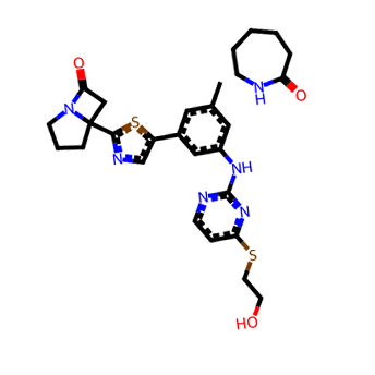 Cc1cc(Nc2nccc(SCCO)n2)cc(-c2cnc(C34CCCN3C(=O)C4)s2)c1.O=C1CCCCCN1